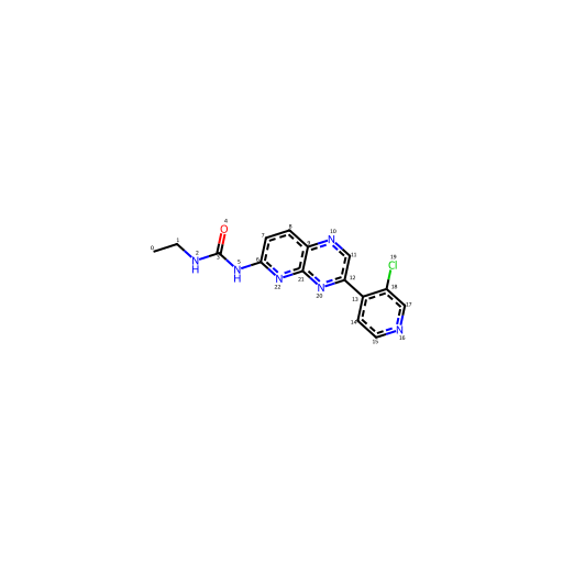 CCNC(=O)Nc1ccc2ncc(-c3ccncc3Cl)nc2n1